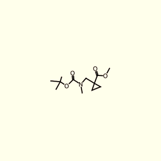 COC(=O)C1(CN(C)C(=O)OC(C)(C)C)CC1